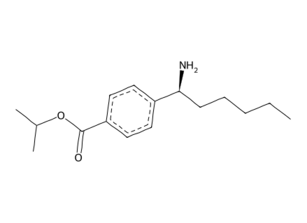 CCCCC[C@H](N)c1ccc(C(=O)OC(C)C)cc1